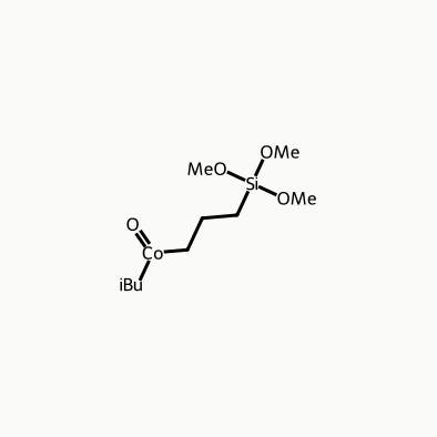 CC[CH](C)[Co](=[O])[CH2]CC[Si](OC)(OC)OC